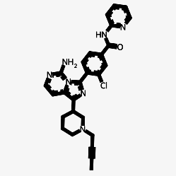 CC#CCN1CCCC(c2nc(-c3ccc(C(=O)Nc4ccccn4)cc3Cl)n3c(N)nccc23)C1